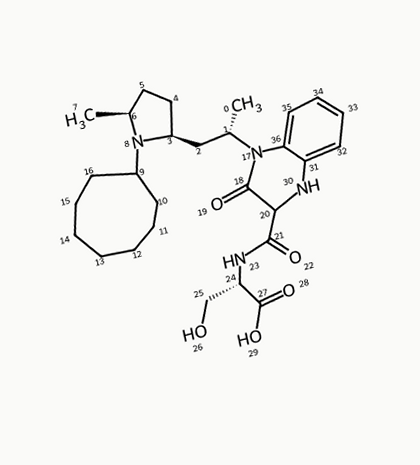 C[C@@H](C[C@@H]1CC[C@H](C)N1C1CCCCCCC1)N1C(=O)C(C(=O)N[C@@H](CO)C(=O)O)Nc2ccccc21